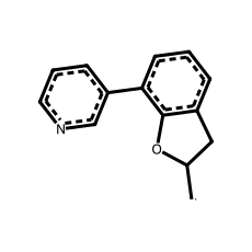 [CH2]C1Cc2cccc(-c3cccnc3)c2O1